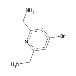 NCc1cc(Br)cc(CN)n1